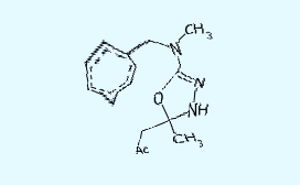 CC(=O)CC1(C)NN=C(N(C)Cc2ccccc2)O1